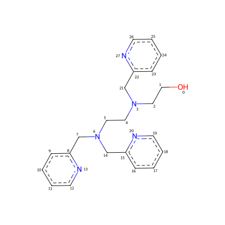 OCCN(CCN(Cc1ccccn1)Cc1ccccn1)Cc1ccccn1